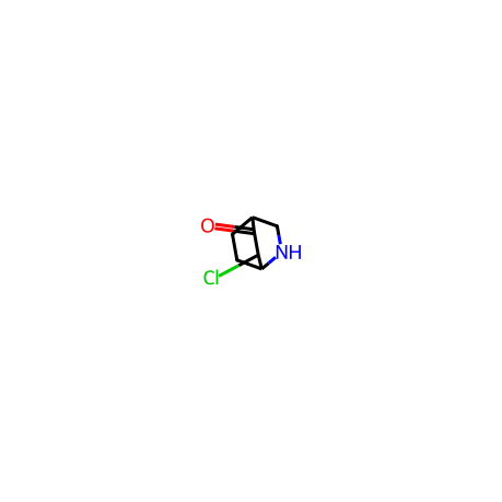 O=C1C2CCC(NC2)C1Cl